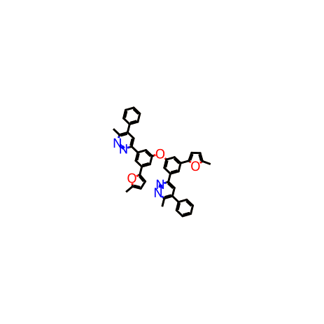 Cc1ccc(-c2cc(Oc3cc(-c4cc(-c5ccccc5)c(C)nn4)cc(-c4ccc(C)o4)c3)cc(-c3cc(-c4ccccc4)c(C)nn3)c2)o1